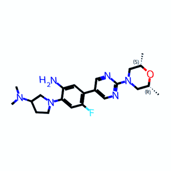 C[C@@H]1CN(c2ncc(-c3cc(N)c(N4CCC(N(C)C)C4)cc3F)cn2)C[C@H](C)O1